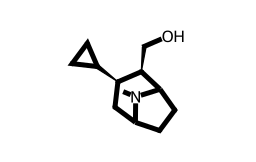 CN1C2CCC1[C@H](CO)[C@H](C1CC1)C2